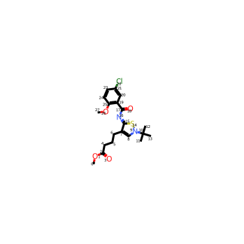 COC(=O)CCCc1cn(C(C)(C)C)sc1=NC(=O)c1cc(Cl)ccc1OC